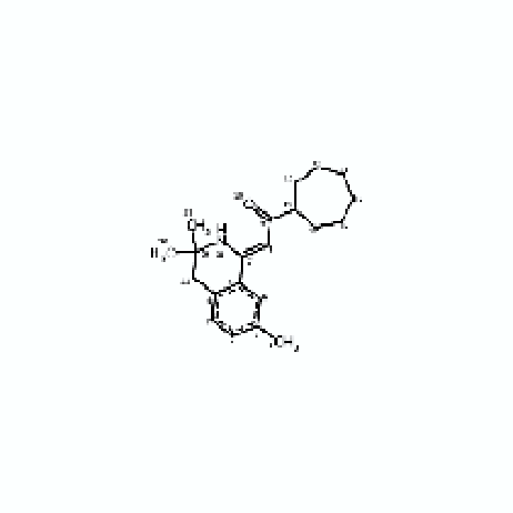 Cc1ccc2c(c1)C(=CC(=O)C1CCCCCC1)NC(C)(C)C2